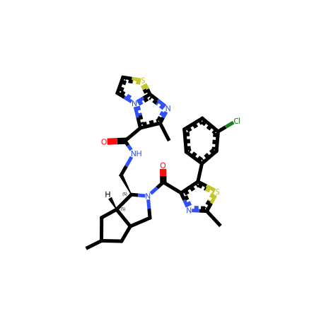 Cc1nc(C(=O)N2CC3CC(C)C[C@@H]3[C@H]2CNC(=O)c2c(C)nc3sccn23)c(-c2cccc(Cl)c2)s1